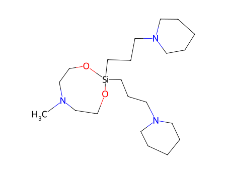 CN1CCO[Si](CCCN2CCCCC2)(CCCN2CCCCC2)OCC1